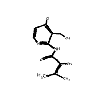 CC(C)=C(S)C(=O)Nc1nccc(Cl)c1CO